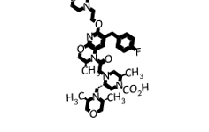 C[C@@H]1CN(CC(=O)N2c3cc(Cc4ccc(F)cc4)c(OCCN4CCOCC4)nc3OC[C@@H]2C)[C@@H](CN2[C@H](C)COC[C@H]2C)CN1C(=O)O